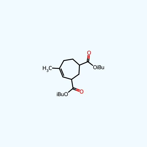 CC1=CC(C(=O)OCC(C)C)CC(C(=O)OCC(C)C)CC1